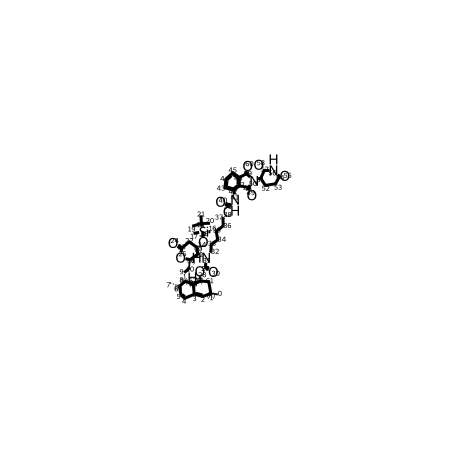 C[C@H]1C=C2C=C[C@H](C)[C@H](CC[C@@H]3C[C@@H](O[Si](C)(C)C(C)(C)C)CC(=O)O3)[C@H]2[C@@H](OC(=O)NCCCCCCCC(=O)Nc2cccc3c2C(=O)N(C2CCC(=O)NC2=O)C3=O)C1